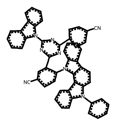 N#Cc1ccc(-c2nc(-c3cc(C#N)ccc3-n3c4ccccc4c4ccc5c(c6ccccc6n5-c5ccccc5)c43)nc(-n3c4ccccc4c4ccccc43)n2)cc1